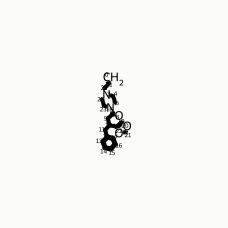 C=CCN1CCN(C(=O)CC(Cc2ccccc2)C2=COCO2)CC1